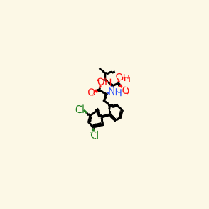 CC(C)CC(NC(Cc1ccccc1-c1cc(Cl)cc(Cl)c1)C(=O)O)C(=O)O